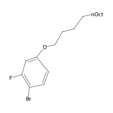 CCCCCCCCCCCCOc1ccc(Br)c(F)c1